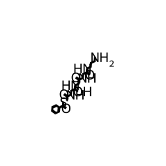 NCCCNC(=O)CNC(=O)CNC(O)CNC(=O)CSC(=O)c1ccccc1